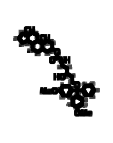 COc1ccc(C(OCCC(O)CCNC(=O)OC2CC[C@]3(C)C(CCC4C5CCC[C@]5(C)CCC43)C2)(c2ccccc2)c2ccc(OC)cc2)cc1